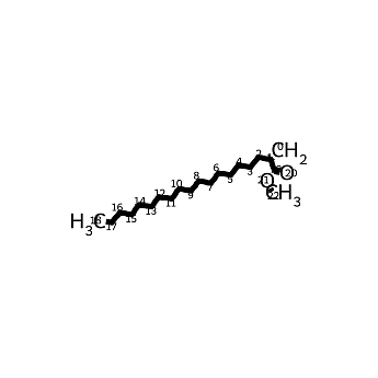 C=C(CCCCCCCCCCCCCCCCC)C(=O)OC